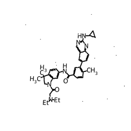 CCN(CC)CC(=O)N1CC(C)(C)c2ccc(NC(=O)c3ccc(C)c(-c4ccc5nc(NC6CC6)ncc5c4)c3)cc21